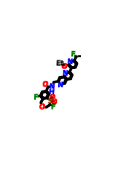 CCOc1nc([C@H](C)F)ccc1-c1ccc2cnc(CNC(=O)c3cc(F)c4c(c3)S(=O)(=O)[C@@H](F)COC4)cc2n1